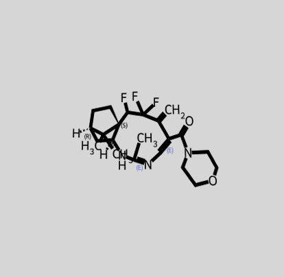 C=C1/C(C(=O)N2CCOCC2)=C\N=C(/C)N[C@H]2C[C@H]3CC[C@]2(C(F)C1(F)F)C3(C)C